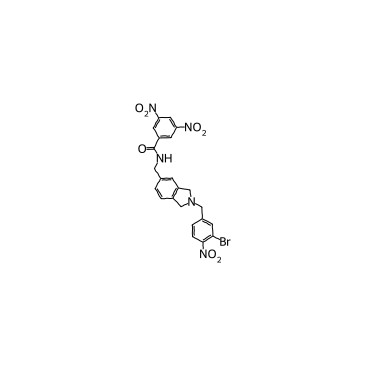 O=C(NCc1ccc2c(c1)CN(Cc1ccc([N+](=O)[O-])c(Br)c1)C2)c1cc([N+](=O)[O-])cc([N+](=O)[O-])c1